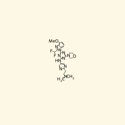 COc1cccc2c1nc(C(F)F)n2-c1nc(Nc2cnc(CCN(C)C)nc2)nc(N2CCOCC2)n1